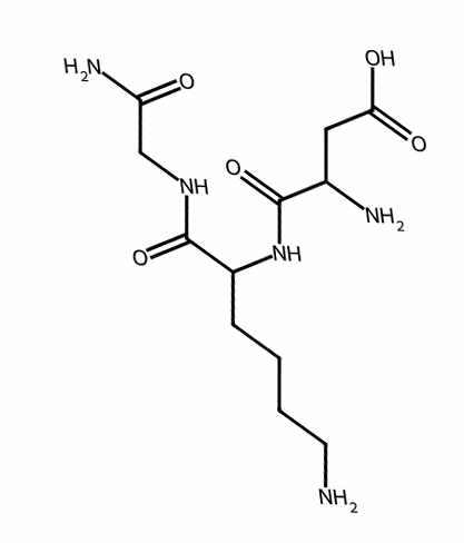 NCCCCC(NC(=O)C(N)CC(=O)O)C(=O)NCC(N)=O